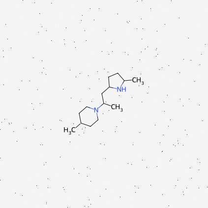 CC1CCN(C(C)CC2CCC(C)N2)CC1